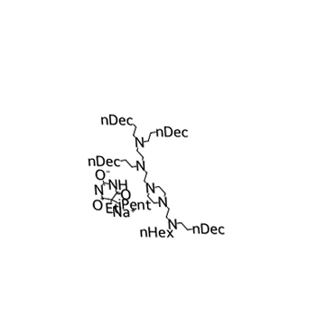 CCCC(C)C1(CC)C(=O)N=C([O-])NC1=O.CCCCCCCCCCCCN(CCCCCCCCCCCC)CCN(CCCCCCCCCCCC)CCN1CCN(CCN(CCCCCC)CCCCCCCCCCCC)CC1.[Na+]